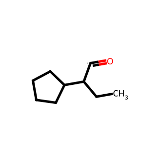 CCC([C]=O)C1CCCC1